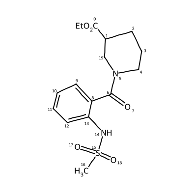 CCOC(=O)C1CCCN(C(=O)c2ccccc2NS(C)(=O)=O)C1